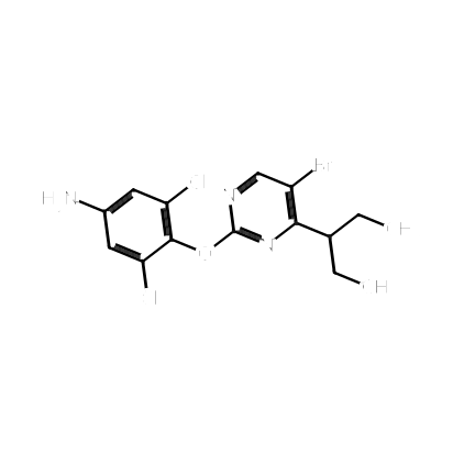 CCC(CC)c1nc(Oc2c(Cl)cc(N)cc2Cl)ncc1Br